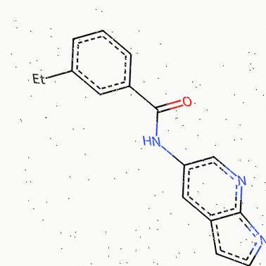 CCc1cccc(C(=O)Nc2cnc3[nH]ccc3c2)c1